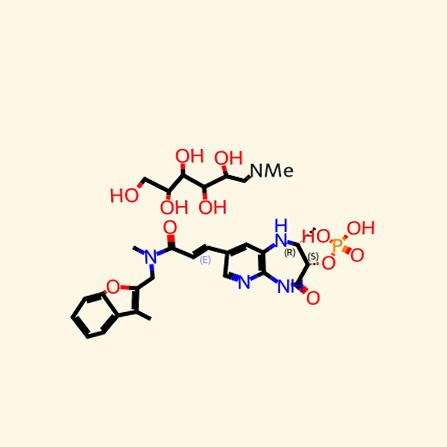 CNCC(O)C(O)C(O)C(O)CO.Cc1c(CN(C)C(=O)/C=C/c2cnc3c(c2)N[C@H](C)[C@H](OP(=O)(O)O)C(=O)N3)oc2ccccc12